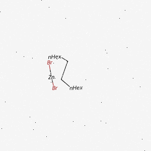 [Br][Zn][Br].[CH2]CCCCCCCCCCCCC